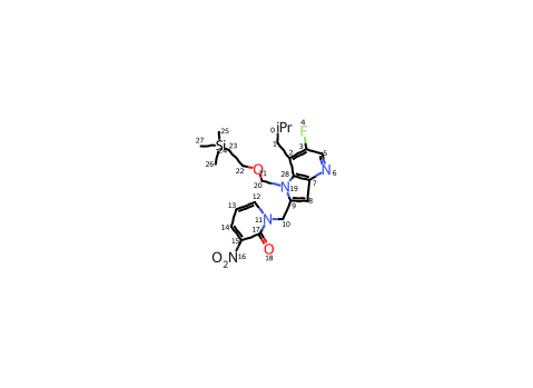 CC(C)Cc1c(F)cnc2cc(Cn3cccc([N+](=O)[O-])c3=O)n(COCC[Si](C)(C)C)c12